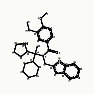 COc1ccc(C(=O)N(Cc2cc3ccccc3o2)C(C)(C2CCCCC2)C2CCCN2)cc1OC